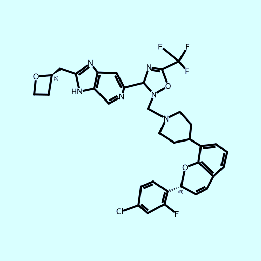 Fc1cc(Cl)ccc1[C@H]1C=Cc2cccc(C3CCN(CN4OC(C(F)(F)F)=NC4c4cc5nc(C[C@H]6CCO6)[nH]c5cn4)CC3)c2O1